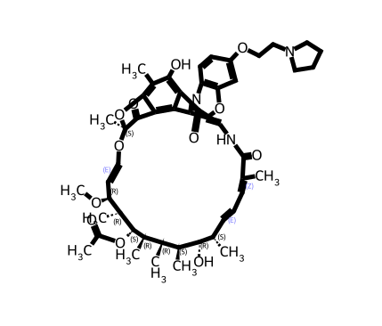 CO[C@H]1/C=C/O[C@@]2(C)Oc3c(C)c(O)c4c(=O)c(c5oc6cc(OCCN7CCCC7)ccc6nc-5c4c3C2=O)NC(=O)/C(C)=C\C=C\[C@H](C)[C@H](O)[C@@H](C)[C@@H](C)[C@@H](C)[C@H](OC(C)=O)[C@@H]1C